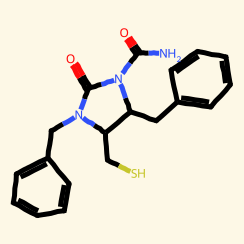 NC(=O)N1C(=O)N(Cc2ccccc2)C(CS)C1Cc1ccccc1